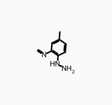 C=Nc1cc(C)ccc1NN